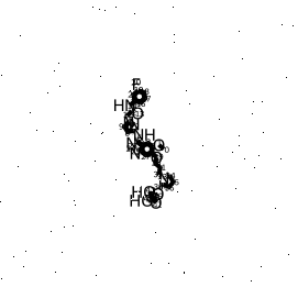 COc1cc2c(Nc3ccn(CC(=O)Nc4cccc(F)c4)n3)ncnc2cc1OCCCN1CCC[C@@H]1COP(=O)(O)O